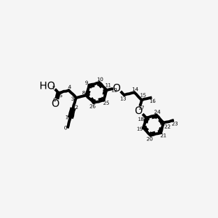 CC#CC(CC(=O)O)c1ccc(OCCC(C)Oc2cccc(C)c2)cc1